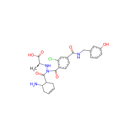 C[C@H](NN(C(=O)c1ccc(C(=O)NCc2cccc(O)c2)cc1Cl)C(=O)C1CC=CCC1N)C(=O)O